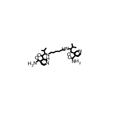 CC(C)C(NCCCCCCNC(C(=O)c1cnccc1C(N)=O)C(C)C)C(=O)c1cnccc1C(N)=O